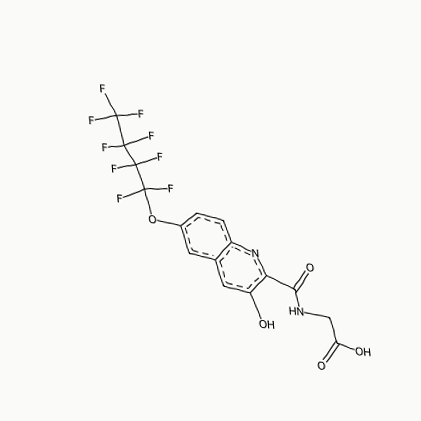 O=C(O)CNC(=O)c1nc2ccc(OC(F)(F)C(F)(F)C(F)(F)C(F)(F)F)cc2cc1O